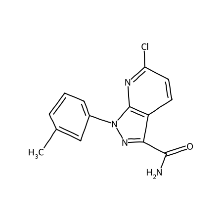 Cc1cccc(-n2nc(C(N)=O)c3ccc(Cl)nc32)c1